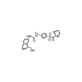 O=C(Nc1ccc2cncc(CO)c2c1)[C@@H]1CC1c1ccc(S(=O)(=O)Nc2ncccn2)cc1